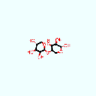 OC1C(O)[C@H](O)CO[C@H]1O[C@@H]1CO[C@@H](O)C(O)C1O